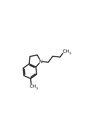 CCCCN1CCc2ccc(C)cc21